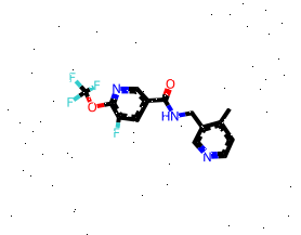 Cc1ccncc1CNC(=O)c1cnc(OC(F)(F)F)c(F)c1